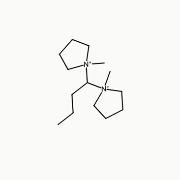 CCCC([N+]1(C)CCCC1)[N+]1(C)CCCC1